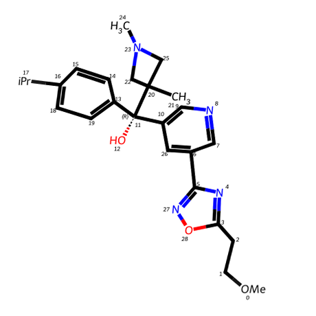 COCCc1nc(-c2cncc([C@@](O)(c3ccc(C(C)C)cc3)C3(C)CN(C)C3)c2)no1